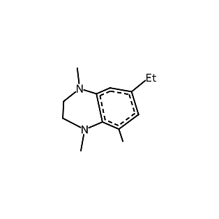 CCc1cc(C)c2c(c1)N(C)CCN2C